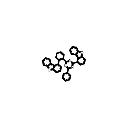 C1=CC(c2nc(-c3ccccc3)nc(-c3cccc4oc5ccccc5c34)n2)=C(c2cccc3oc4ccccc4c23)CC1